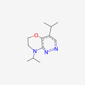 CC(C)c1cnnc2c1OCCN2C(C)C